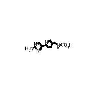 CN(Cc1ccc(-c2cnc(N)nc2)nc1)C(=O)O